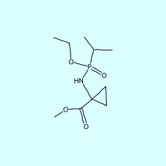 CCOP(=O)(NC1(C(=O)OC)CC1)C(C)C